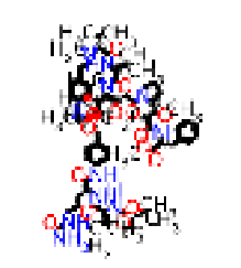 CC[C@H](C)[C@@H]([C@@H](CC(=O)N1CCC[C@H]1C(OC)[C@@H](C)C(=O)N[C@@H](Cc1ccccc1)C(=O)OC)OC)N(C)C(=O)[C@@H](NC(=O)[C@H](C(C)C)N(C)CCc1ccc(N(C)C(=O)OCc2ccc(NC(=O)[C@H](CCCNC(N)=O)NC(=O)[C@@H](NC(=O)OC(C)(C)C)C(C)C)cc2)cc1)C(C)C